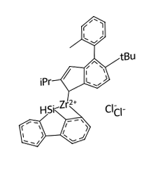 Cc1ccccc1-c1c(C(C)(C)C)ccc2c1C=C(C(C)C)[CH]2[Zr+2]1[c]2cccc3c2[SiH]1c1ccccc1-3.[Cl-].[Cl-]